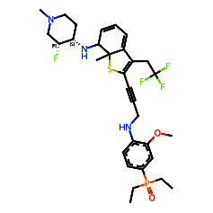 CCP(=O)(CC)c1ccc(NCC#CC2=C(CC(F)(F)F)C3=CC=CC(N[C@H]4CCN(C)C[C@H]4F)C3(C)S2)c(OC)c1